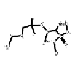 CCOP(=O)(OCC)C(N(OC(C)(C)COCO)C(C)(C)C)C(C)(C)C